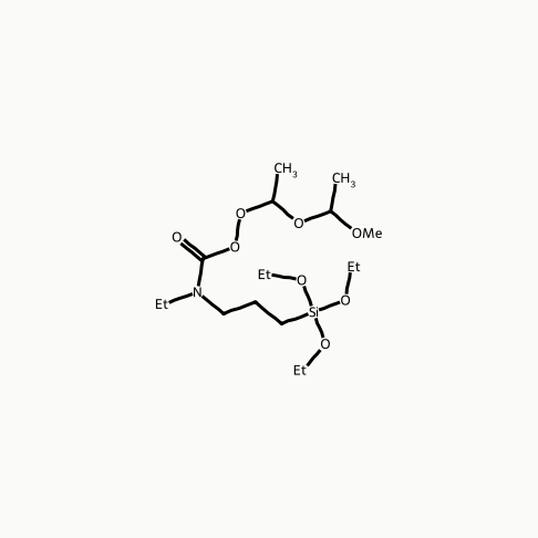 CCO[Si](CCCN(CC)C(=O)OOC(C)OC(C)OC)(OCC)OCC